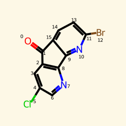 O=C1c2cc(Cl)cnc2-c2nc(Br)ccc21